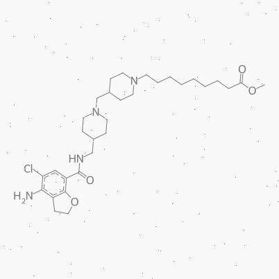 COC(=O)CCCCCCCCN1CCC(CN2CCC(CNC(=O)c3cc(Cl)c(N)c4c3OCC4)CC2)CC1